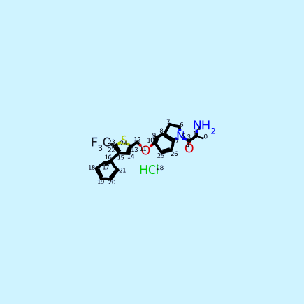 C[C@H](N)C(=O)N1CCc2cc(OCc3cc(-c4ccccc4)c(C(F)(F)F)s3)ccc21.Cl